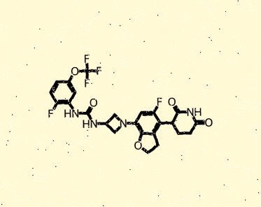 O=C1CCC(c2c(F)cc(N3CC(NC(=O)Nc4cc(OC(F)(F)F)ccc4F)C3)c3c2CCO3)C(=O)N1